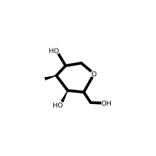 C[C@H]1C(O)COC(CO)[C@H]1O